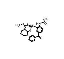 COC(=O)/N=C(/Nc1cc(C(=O)c2ccccc2)ccc1NC(C)=O)SC1CCCCC1